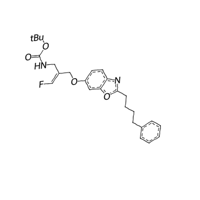 CC(C)(C)OC(=O)NCC(=CF)COc1ccc2nc(CCCCc3ccccc3)oc2c1